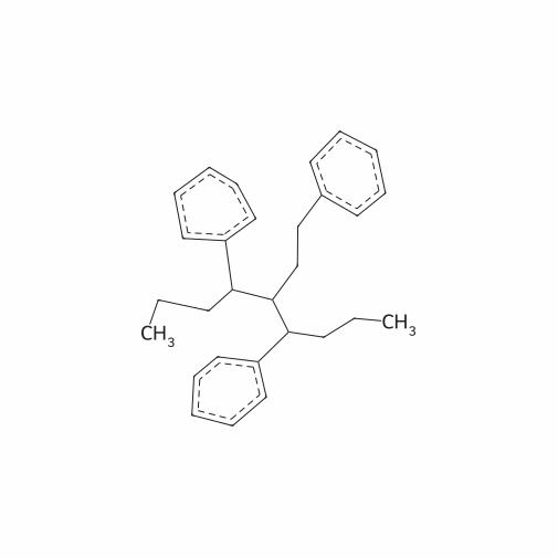 CCCC(c1ccccc1)C(CCc1ccccc1)C(CCC)c1ccccc1